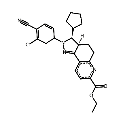 CCOC(=O)c1ccc2c(n1)CC[C@H]1C2=NN(C2C=CC(C#N)=C(Cl)C2)[C@H]1C1CCCC1